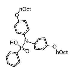 CCCCCCCCOc1ccc(N(c2ccc(OCCCCCCCC)cc2)P(=O)(O)c2ccccc2)cc1